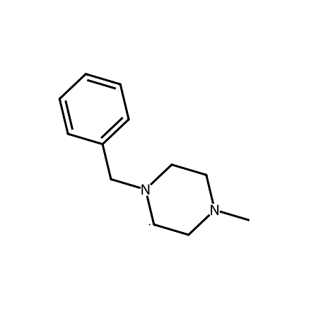 CN1C[CH]N(Cc2ccccc2)CC1